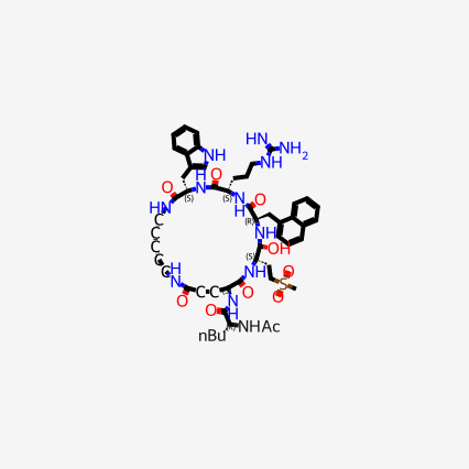 CCCC[C@@H](NC(C)=O)C(=O)N[C@H]1CCC(=O)NCCCCCNC(=O)[C@H](Cc2c[nH]c3ccccc23)NC(=O)[C@H](CCCNC(=N)N)NC(=O)[C@@H](Cc2cccc3ccccc23)NC(O)[C@H](CCS(C)(=O)=O)NC1=O